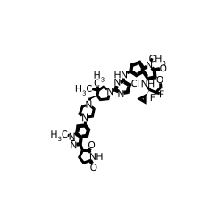 Cn1nc(C2CCC(=O)NC2=O)c2ccc(N3CCN(C[C@@H]4CCN(c5ncc(Cl)c(Nc6ccc7c(c6)c6c(c(=O)n7C)OCC(F)(F)[C@H](C7CC7)N6)n5)CC4(C)C)CC3)cc21